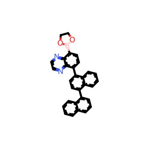 c1ccc2c(-c3ccc(-c4ccc(B5OCCO5)c5nccnc45)c4ccccc34)cccc2c1